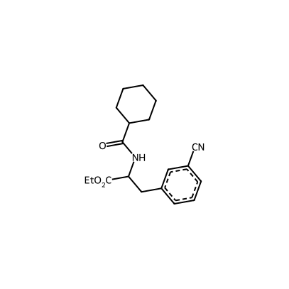 CCOC(=O)C(Cc1cccc(C#N)c1)NC(=O)C1CCCCC1